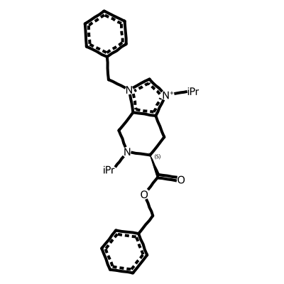 CC(C)N1Cc2c([n+](C(C)C)cn2Cc2ccccc2)C[C@H]1C(=O)OCc1ccccc1